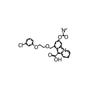 CN(C)C(=O)Oc1cc(COCCOc2cccc(Cl)c2)c2c(C(=O)O)c3ccccn3c2c1